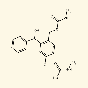 CNC(=O)O.CNC(=O)OCc1ccc(Cl)cc1C(O)c1ccccc1